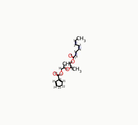 C\C=C/C=C\C=C\C(=O)OCC(C)OC(C)COC(=O)C1=CCCC=C1